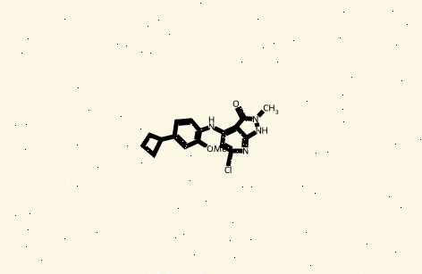 COc1cc(C2CCC2)ccc1Nc1cc(Cl)nc2[nH]n(C)c(=O)c12